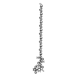 CCc1ccc(N2C(=O)C=CC2=O)cc1C(=O)NCC(=O)NCC(=O)NCCOCCOCCOCCOCCOCCOCCOCCOCCOCCOCCOCCOCCOC